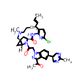 C/C=C/Cc1ccc(Br)nc1NC(=O)[C@@H]1C[C@@]2(CN(C)CCC)C[C@H]2N1C(=O)Cn1nc(C(C)=O)c2cc(-c3cnc(C)nc3)ccc21